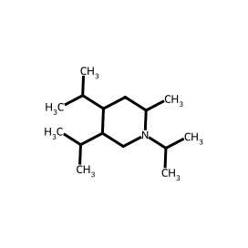 CC(C)C1CC(C)N(C(C)C)CC1C(C)C